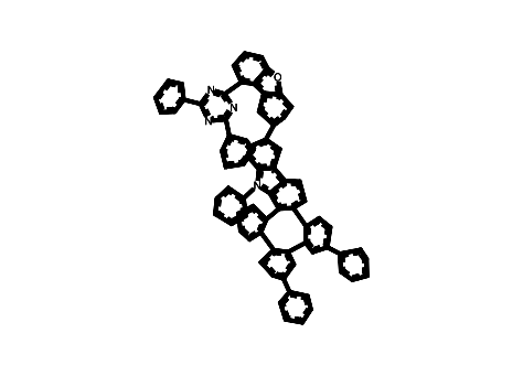 c1ccc(-c2ccc3c(c2)-c2cc(-c4ccccc4)ccc2-c2ccc4c5cc(-c6ccc7oc8cccc(-c9nc(-c%10ccccc%10)nc(-c%10ccccc%10)n9)c8c7c6)ccc5n(-c5ccccc5)c4c2-c2ccccc2-3)cc1